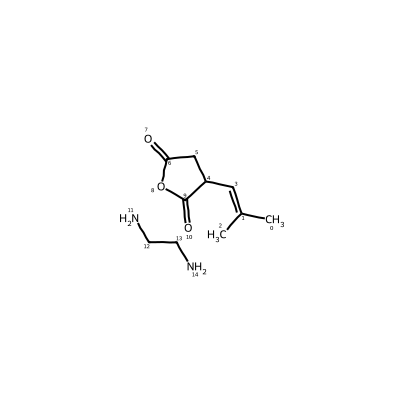 CC(C)=CC1CC(=O)OC1=O.NCCN